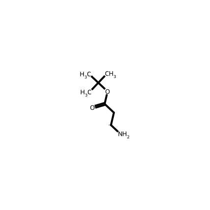 CC(C)(C)OC(=O)C[CH]N